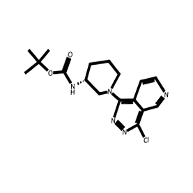 CC(C)(C)OC(=O)N[C@@H]1CCCN(c2nnc(Cl)c3cnccc23)C1